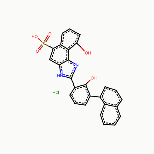 Cl.O=S(=O)(O)c1cc2[nH]c(-c3cccc(-c4cccc5ccccc45)c3O)nc2c2c(O)cccc12